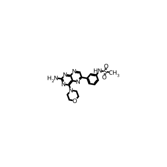 CS(=O)(=O)Nc1cccc(-c2cnc3nc(N)nc(N4CCOCC4)c3n2)c1